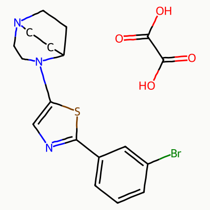 Brc1cccc(-c2ncc(N3CCN4CCC3CC4)s2)c1.O=C(O)C(=O)O